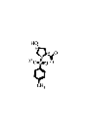 Cc1ccc(S(=O)(=O)N2C[C@H](O)C[C@H]2C(=O)[O-])cc1.[K+]